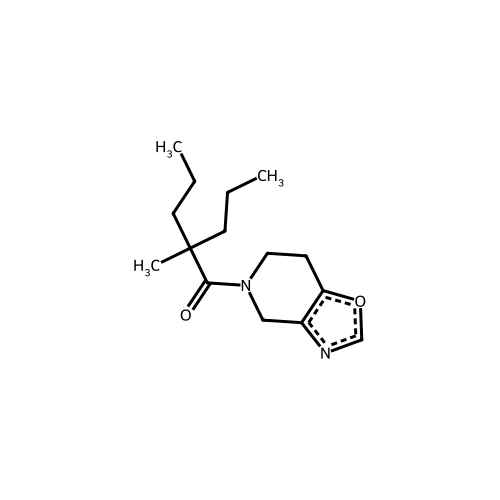 CCCC(C)(CCC)C(=O)N1CCc2ocnc2C1